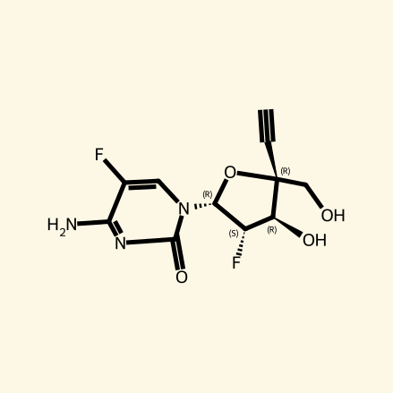 C#C[C@]1(CO)O[C@@H](n2cc(F)c(N)nc2=O)[C@@H](F)[C@@H]1O